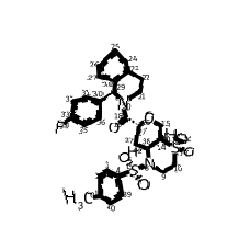 Cc1ccc(S(=O)(=O)N2CCS(=O)(=O)[C@H]3CO[C@@H](C(=O)N4CCc5ccccc5[C@@H]4c4ccc(F)cc4)C[C@@H]32)cc1